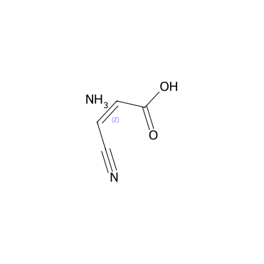 N.N#C/C=C\C(=O)O